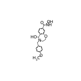 COc1ccc(CN2CCOc3cc(C(=O)NO)ccc3C2O)cc1